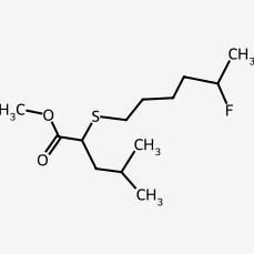 COC(=O)C(CC(C)C)SCCCCC(C)F